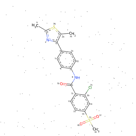 Cc1nc(-c2ccc(NC(=O)c3ccc(S(C)(=O)=O)cc3Cl)cc2)c(C)s1